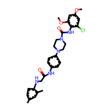 COc1cc(Cl)c(NC(=O)N2CCN(c3ccc(NC(=O)CNc4ccc(C)cc4C)cc3)CC2)c(OC)c1